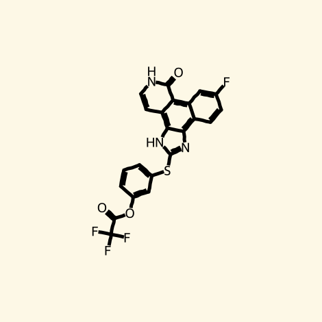 O=C(Oc1cccc(Sc2nc3c4ccc(F)cc4c4c(=O)[nH]ccc4c3[nH]2)c1)C(F)(F)F